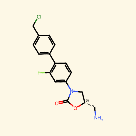 NC[C@H]1CN(c2ccc(-c3ccc(CCl)cc3)c(F)c2)C(=O)O1